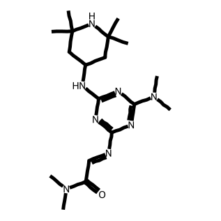 CN(C)C(=O)C=Nc1nc(NC2CC(C)(C)NC(C)(C)C2)nc(N(C)C)n1